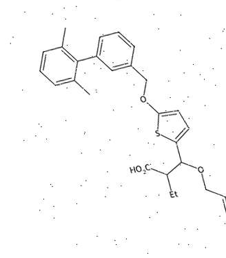 C=CCOC(c1ccc(OCc2cccc(-c3c(C)cccc3C)c2)s1)C(CC)C(=O)O